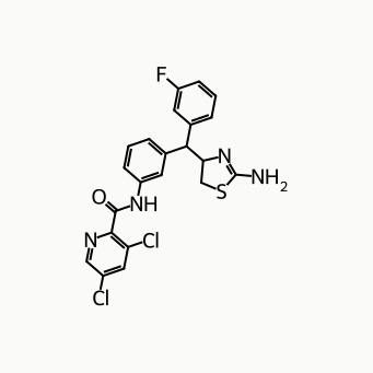 NC1=NC(C(c2cccc(F)c2)c2cccc(NC(=O)c3ncc(Cl)cc3Cl)c2)CS1